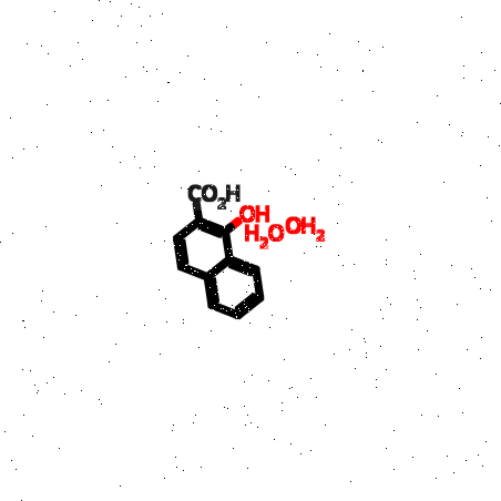 O.O.O=C(O)c1ccc2ccccc2c1O